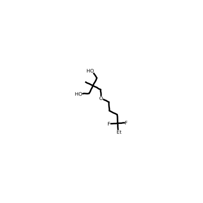 CCC(F)(F)CCCOCC(C)(CO)CO